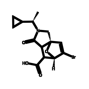 C[C@@H](C1CC1)N1C[C@]23C=C(Br)[C@H](O2)C(C(=O)O)C3C1=O